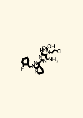 Nc1nc(-c2nn(Cc3ccccc3F)c3ncccc23)nc(N)c1N(CCCl)C(=O)O